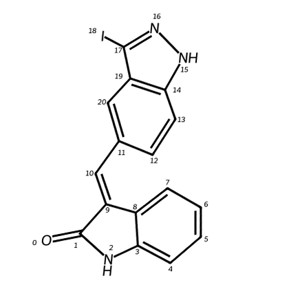 O=C1Nc2ccccc2/C1=C\c1ccc2[nH]nc(I)c2c1